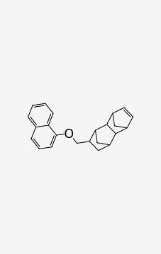 C1=CC2CC1C1C3CC(COc4cccc5ccccc45)C(C3)C21